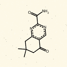 CC1(C)CC(=O)c2cnc(C(N)=O)nc2C1